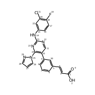 O=C(O)C=Cc1cccc(-c2cnc(Nc3ccc(F)c(Cl)c3)nc2-n2cccn2)c1